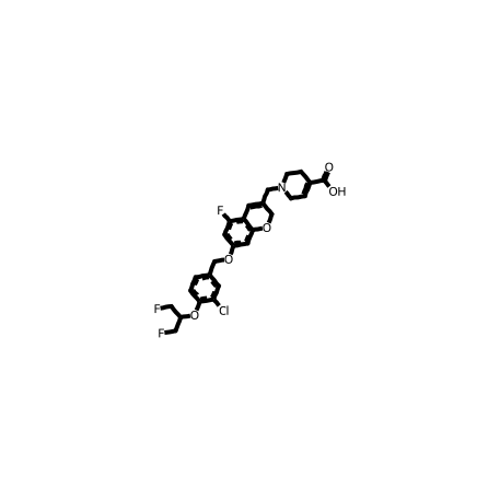 O=C(O)C1=CCN(CC2=Cc3c(F)cc(OCc4ccc(OC(CF)CF)c(Cl)c4)cc3OC2)CC1